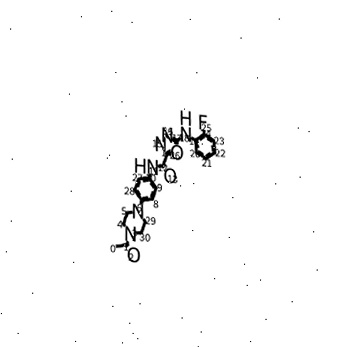 CC(=O)N1CCN(c2ccc(NC(=O)c3nnc(Nc4ccccc4F)o3)cc2)CC1